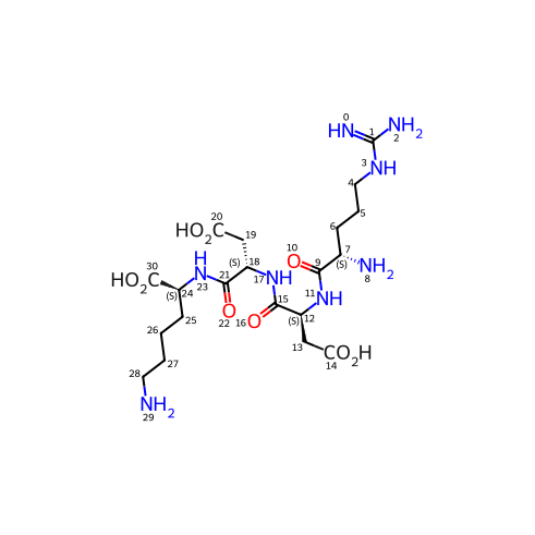 N=C(N)NCCC[C@H](N)C(=O)N[C@@H](CC(=O)O)C(=O)N[C@@H](CC(=O)O)C(=O)N[C@@H](CCCCN)C(=O)O